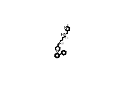 O=C(CCCNCC1CCN(c2ccccc2-c2ccccc2)CC1)NCc1ccc(F)nc1